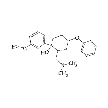 CCOc1cccc(C2(O)CCC(Oc3ccccc3)CC2CN(C)C)c1